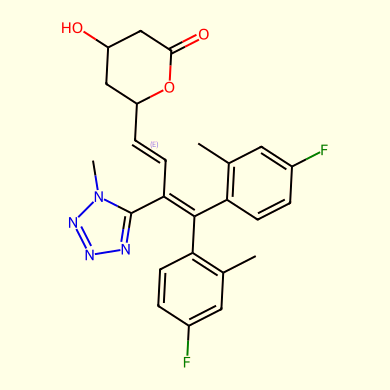 Cc1cc(F)ccc1C(=C(/C=C/C1CC(O)CC(=O)O1)c1nnnn1C)c1ccc(F)cc1C